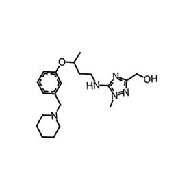 CC(CCNc1nc(CO)nn1C)Oc1cccc(CN2CCCCC2)c1